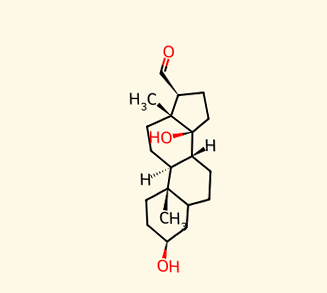 C[C@]12CC[C@H](O)CC1CC[C@@H]1[C@@H]2CC[C@]2(C)[C@@H](C=O)CC[C@]12O